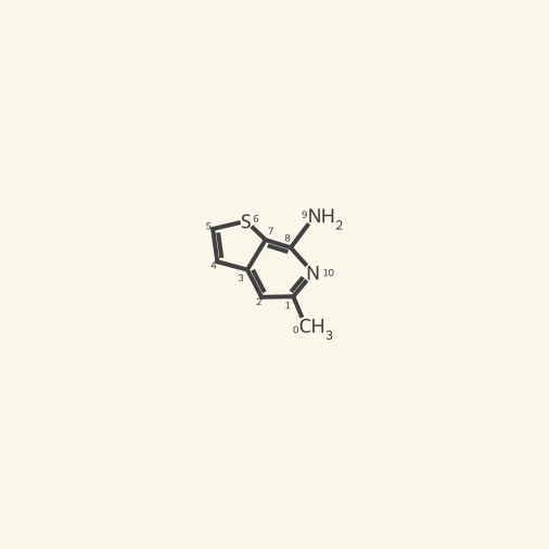 Cc1cc2ccsc2c(N)n1